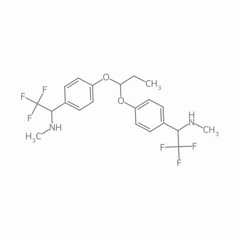 CCC(Oc1ccc(C(NC)C(F)(F)F)cc1)Oc1ccc(C(NC)C(F)(F)F)cc1